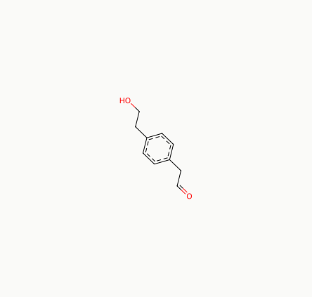 O=CCc1ccc(CCO)cc1